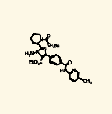 CCOC(=O)c1c(-c2ccc(C(=O)Nc3ccc(C)cn3)cc2)nc(C2CCCCN2C(=O)OC(C)(C)C)n1N